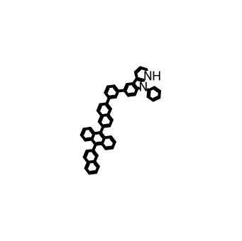 C1=Cc2c(n(-c3ccccc3)c3ccc(-c4cccc(-c5ccc6cc(-c7c8ccccc8c(-c8ccc9ccccc9c8)c8ccccc78)ccc6c5)c4)cc23)NC1